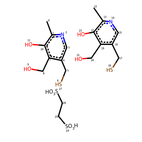 Cc1ncc(CS)c(CO)c1O.Cc1ncc(CS)c(CO)c1O.O=S(=O)(O)CCS(=O)(=O)O